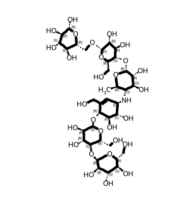 C[C@H]1O[C@H](O[C@H]2[C@H](O)[C@@H](O)[C@@H](OC[C@H]3O[C@@H](O)[C@H](O)[C@@H](O)[C@@H]3O)O[C@@H]2CO)[C@H](O)[C@@H](O)[C@@H]1N[C@H]1C=C(CO)[C@@H](O[C@H]2O[C@H](CO)[C@@H](O[C@H]3O[C@H](CO)[C@@H](O)[C@H](O)[C@H]3O)[C@H](O)[C@H]2O)[C@H](O)[C@H]1O